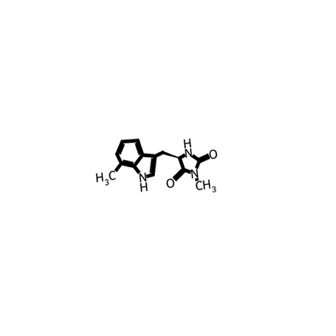 Cc1cccc2c(C[C@H]3NC(=O)N(C)C3=O)c[nH]c12